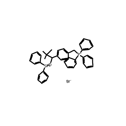 CC(C)(C)C(O[SiH](c1ccccc1)c1ccccc1)c1ccc(C[P+](c2ccccc2)(c2ccccc2)c2ccccc2)cc1.[Br-]